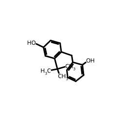 CC(C)(C)c1cc(O)ccc1Cc1ccccc1O